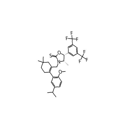 COc1ccc(C(C)C)cc1C1=C(CN2C(=S)O[C@H](c3cc(C(F)(F)F)cc(C(F)(F)F)c3)[C@@H]2C)CC(C)(C)CC1